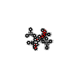 c1ccc(-c2ccc(-c3ccc(-c4cc(-c5nc(-c6ccccc6)nc(-c6ccccc6)n5)ccc4-n4c5ccc(-c6nc(-c7ccccc7)nc(-c7ccccc7)n6)cc5c5cc(-c6nc(-c7ccccc7)nc(-c7ccccc7)n6)ccc54)c(-n4c5ccc(-c6nc(-c7ccccc7)nc(-c7ccccc7)n6)cc5c5cc(-c6nc(-c7ccccc7)nc(-c7ccccc7)n6)ccc54)c3)cc2)cc1